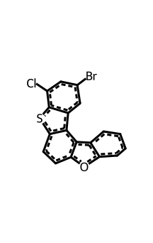 Clc1cc(Br)cc2c1sc1ccc3oc4ccccc4c3c12